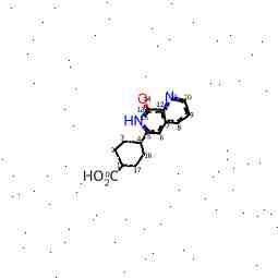 O=C(O)C1CCC(c2cc3cccnc3c(=O)[nH]2)CC1